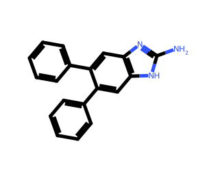 Nc1nc2cc(-c3ccccc3)c(-c3ccccc3)cc2[nH]1